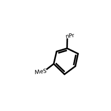 CCCc1cccc(SC)c1